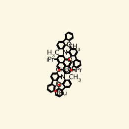 Cc1ccc2c(oc3ccccc32)c1N(c1cc(C(C)C)c2ccc3c(N(c4c(C)ccc5c4oc4ccccc45)c4c(C)ccc5c4oc4c(C(C)(C)C)cccc45)cc(C(C)C)c4ccc1c2c43)c1c(C)ccc2c1oc1c(C(C)(C)C)cccc12